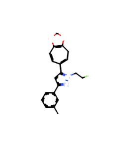 Cc1cccc(-c2cc(C3=CCC4=C(C=C3)OCO4)n(CCF)n2)c1